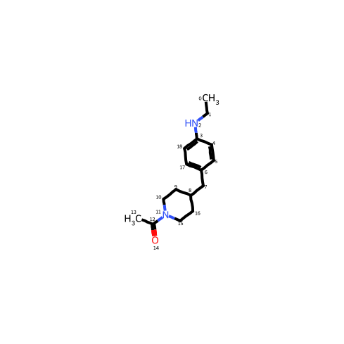 CCNc1ccc(CC2CCN(C(C)=O)CC2)cc1